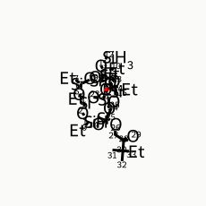 CC[SiH]1O[Si]2(CC)O[Si]3(CC)O[Si](CC)(O[SiH3])O[Si]4(CC)O[Si](CC)(O3)O[Si](CC)(O2)O[Si](OCC(=O)C(C)(C)CC)(O1)O4